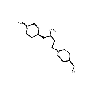 CC(C)CC1CCN(CCC(C)CC2CCN(C)CC2)CC1